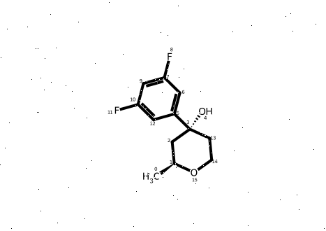 C[C@H]1C[C@@](O)(c2cc(F)cc(F)c2)CCO1